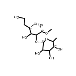 CO[C@@H](O)C(O[C@@H]1OC(C)[C@@H](O)C(O)C1O)C(O)[C@@H](O)CCO